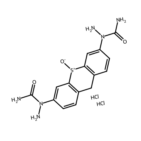 Cl.Cl.NC(=O)N(N)c1ccc2c(c1)[S+]([O-])c1cc(N(N)C(N)=O)ccc1C2